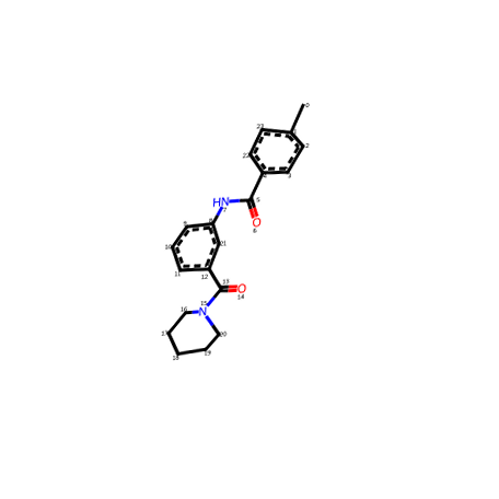 Cc1ccc(C(=O)Nc2c[c]cc(C(=O)N3CCCCC3)c2)cc1